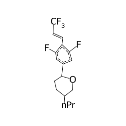 CCCC1CCC(c2cc(F)c(/C=C/C(F)(F)F)c(F)c2)OC1